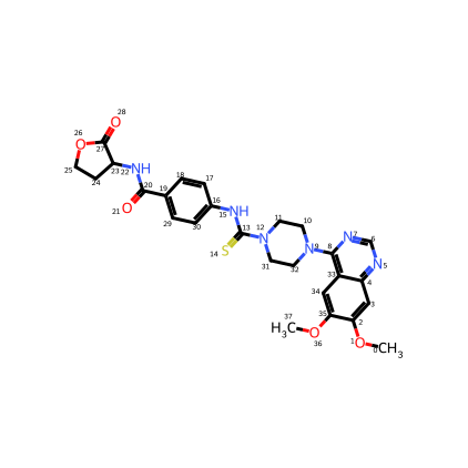 COc1cc2ncnc(N3CCN(C(=S)Nc4ccc(C(=O)NC5CCOC5=O)cc4)CC3)c2cc1OC